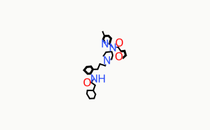 Cc1ccc(N(C(=O)c2ccco2)C2CCN(CCCc3ccccc3NC(=O)CC3CCCCC3)CC2)nc1